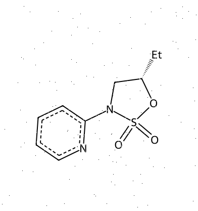 CC[C@H]1CN(c2ccccn2)S(=O)(=O)O1